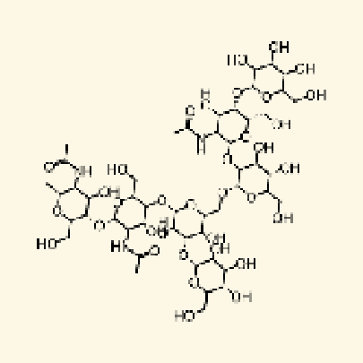 CC(=O)NC1C(O)[C@H](O[C@@H]2OC(CO)[C@H](O)[C@H](O)C2O)[C@H](CO)O[C@H]1OC1[C@@H](OCC2O[C@@H](O[C@@H]3C(CO)O[C@@H](O[C@@H]4C(CO)O[C@@H](C)C(NC(C)=O)[C@H]4O)C(NC(C)=O)[C@H]3O)C(O)[C@@H](O[C@H]3OC(CO)[C@@H](O)C(O)C3O)[C@@H]2O)OC(CO)[C@@H](O)[C@@H]1O